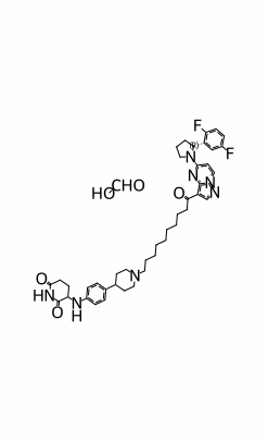 O=C1CCC(Nc2ccc(C3CCN(CCCCCCCCCC(=O)c4cnn5ccc(N6CCC[C@@H]6c6cc(F)ccc6F)nc45)CC3)cc2)C(=O)N1.O=CO